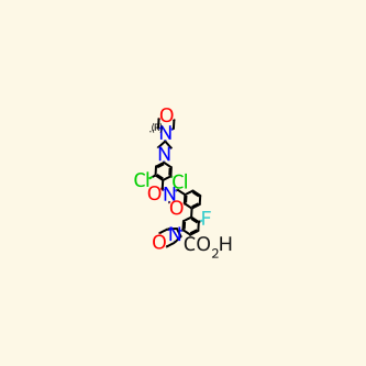 C[C@@H]1COCCN1C1CN(c2cc(Cl)c(C(=O)N3COc4c(cccc4-c4cc(N5C6CCC5COC6)c(C(=O)O)cc4F)C3)c(Cl)c2)C1